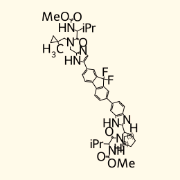 COC(=O)NC(C(=O)N(Cc1ncc(-c2ccc3c(c2)C(F)(F)c2cc(-c4ccc5nc(C6[C@H]7CC[C@H](C7)N6C(=O)C(NC(=O)OC)C(C)C)[nH]c5c4)ccc2-3)[nH]1)CC1(C)CC1)C(C)C